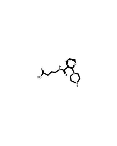 O=C(O)CCCNC(=O)c1cccnc1N1CCNCC1